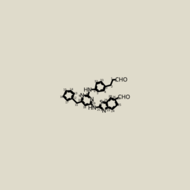 O=CCCc1ccc(Nc2nc(Cc3ccccc3)cc(Nc3nc4ccc(C=O)cc4s3)n2)cc1